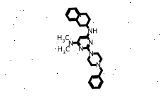 CN(C)c1cc(NC2CCc3ccccc3C2)nc(N2CCN(Cc3ccccc3)CC2)n1